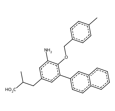 Cc1ccc(COc2c(N)cc(CC(C)C(=O)O)cc2-c2ccc3ccccc3c2)cc1